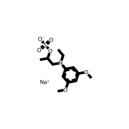 CCN(CC(C)OS(=O)(=O)[O-])c1cc(OC)cc(OC)c1.[Na+]